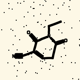 CCN1C(=O)CC=C(C#N)C1=O